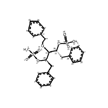 CS(=O)(=O)O[C@H](Cc1ccccc1)C(OCc1ccccc1)[C@@H](Cc1ccccc1)OS(C)(=O)=O